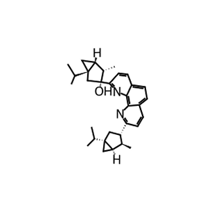 CC(C)[C@]12C[C@H](c3ccc4ccc5ccc([C@@]6(O)C[C@]7(C(C)C)C[C@@H]7[C@@H]6C)nc5c4n3)[C@@H](C)[C@H]1C2